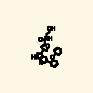 O=C(NCCO)c1cc(-c2c[nH]c3ncc(-c4ccccc4Oc4ccccc4)cc23)co1